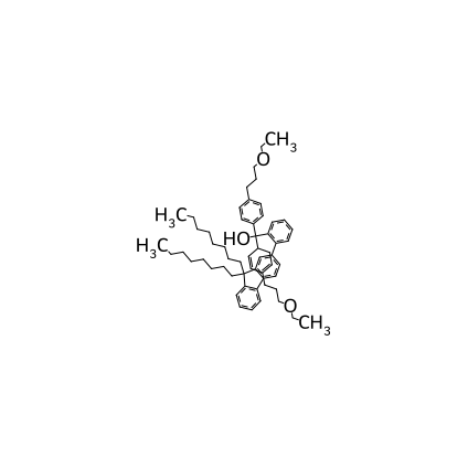 CCCCCCCCC1(CCCCCCCC)c2ccccc2-c2ccc(-c3ccccc3C(O)(c3ccc(CCCOCC)cc3)C3C=CC(CCCOCC)=CC3)cc21